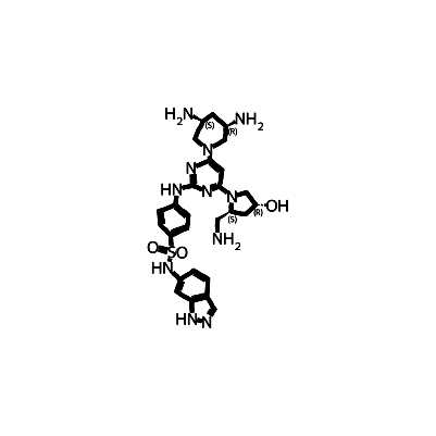 NC[C@@H]1C[C@@H](O)CN1c1cc(N2C[C@H](N)C[C@H](N)C2)nc(Nc2ccc(S(=O)(=O)Nc3ccc4cn[nH]c4c3)cc2)n1